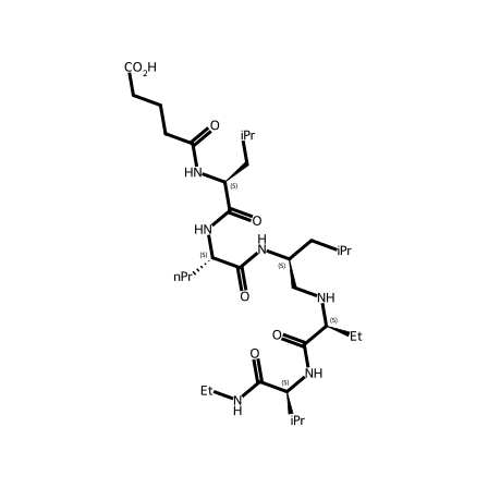 CCC[C@H](NC(=O)[C@H](CC(C)C)NC(=O)CCCC(=O)O)C(=O)N[C@H](CN[C@@H](CC)C(=O)N[C@H](C(=O)NCC)C(C)C)CC(C)C